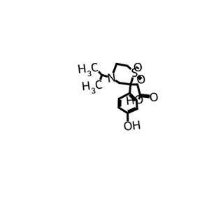 CC(C)N1CCS(=O)(=O)C(CC(=O)O)(c2ccc(O)cc2)C1